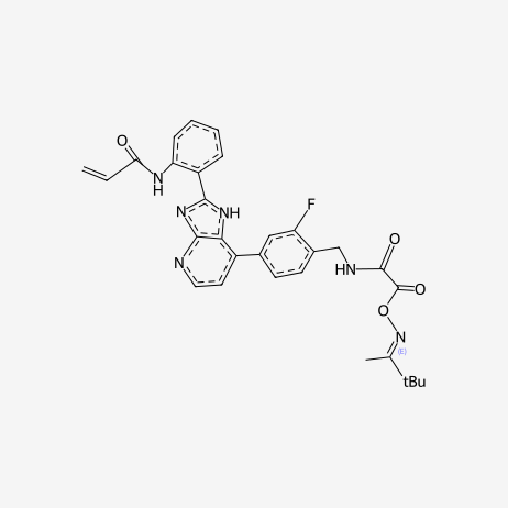 C=CC(=O)Nc1ccccc1-c1nc2nccc(-c3ccc(CNC(=O)C(=O)O/N=C(\C)C(C)(C)C)c(F)c3)c2[nH]1